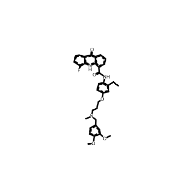 CCc1cc(OCCCN(C)Cc2ccc(OC)c(OC)c2)ccc1NC(=O)c1cccc2c(=O)c3cccc(F)c3[nH]c12